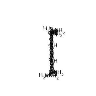 NCCCC[C@H](N)CN[C@@H](CCCCN)C(=O)NCCCOCCOCCOCCCNC(=O)CCOCCOCCOCCOCCOCCC(=O)NCCCOCCOCCOCCCNC(=O)[C@H](CCCCN)NC(=O)[C@@H](N)CCCCN